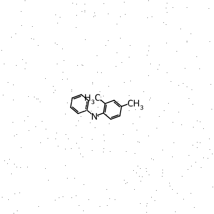 Cc1ccc([N]c2ccccc2)c(C)c1